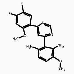 COc1cc(F)c(F)cc1-c1cc(-c2c(N)ccc(OC)c2N)ncn1